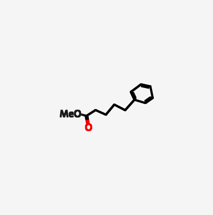 COC(=O)CCCCc1ccccc1